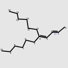 C/C=C/C=C(CCCCCC)CCCCCC